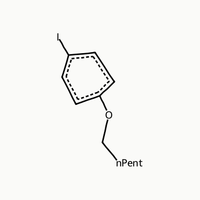 CCCCCCOc1ccc(I)cc1